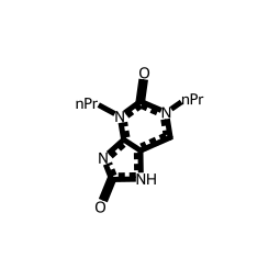 CCCn1cc2[nH]c(=O)nc-2n(CCC)c1=O